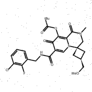 COC[C@H]1C[C@@]2(CN(C)C(=O)c3c(OC(=O)C(C)(C)C)c(=O)c(C(=O)NCc4cccc(Cl)c4F)cn32)C1